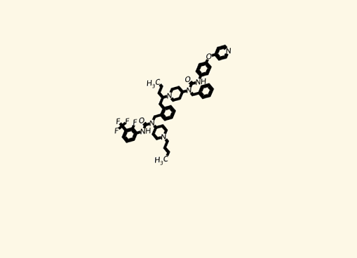 CCCCN1CCC(N(Cc2ccccc2CC(CCC)N2CCC(N(Cc3ccccc3)C(=O)Nc3ccc(Oc4ccncc4)cc3)CC2)C(=O)Nc2cccc(C(F)(F)F)c2F)CC1